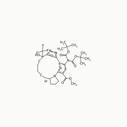 COC(=O)c1cc(N(C(=O)OC(C)(C)C)C(=O)OC(C)(C)C)c2nc1N1CCC[C@H]1CCCCCC(O)(C(F)(F)F)c1nnc-2o1